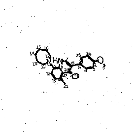 COc1ccc(-c2c[nH]c3c(N4CCCCCC4)ccc(C)c3c2=O)cc1